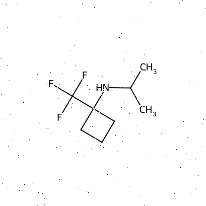 CC(C)NC1(C(F)(F)F)CCC1